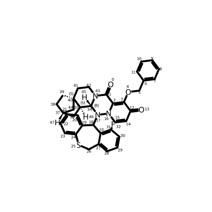 O=C1c2c(OCc3ccccc3)c(=O)ccn2N(C2c3ccccc3SCc3cccc(F)c32)[C@@H]2[C@H]3C[C@@H]4CC[C@@]3(CCN12)C4